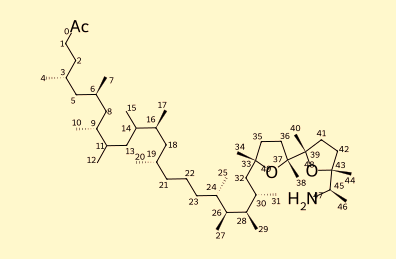 CC(=O)CC[C@@H](C)C[C@@H](C)C[C@@H](C)C(C)CC(C)[C@@H](C)C[C@@H](C)CCC[C@H](C)[C@H](C)[C@H](C)[C@@H](C)C[C@]1(C)CC[C@](C)([C@]2(C)CC[C@](C)([C@@H](C)N)O2)O1